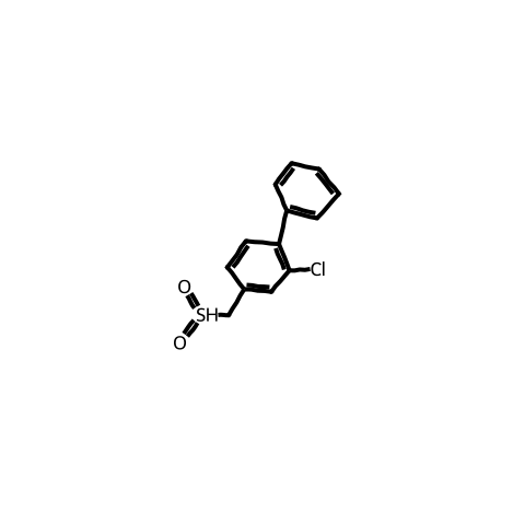 O=[SH](=O)Cc1ccc(-c2ccccc2)c(Cl)c1